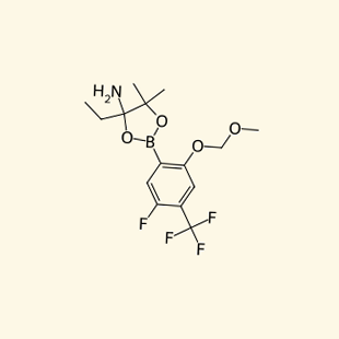 CCC1(N)OB(c2cc(F)c(C(F)(F)F)cc2OCOC)OC1(C)C